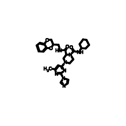 Cc1cc(N2CCN(C(=O)NC3CCCCC3)C(C(=O)NCC3COc4ccccc4O3)C2)nc(-n2ccnc2)n1